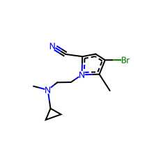 Cc1c(Br)cc(C#N)n1CCN(C)C1CC1